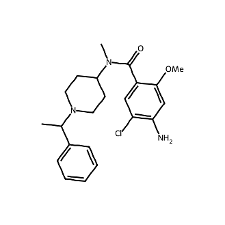 COc1cc(N)c(Cl)cc1C(=O)N(C)C1CCN(C(C)c2ccccc2)CC1